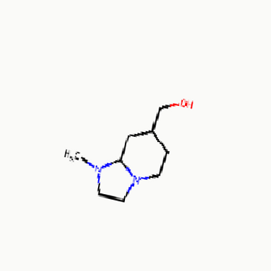 CN1CCN2CCC(CO)CC12